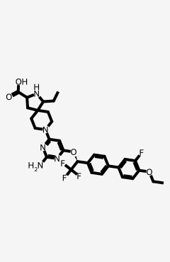 CCOc1ccc(-c2ccc([C@@H](Oc3cc(N4CCC5(CC4)CC(C(=O)O)NC5CC)nc(N)n3)C(F)(F)F)cc2)cc1F